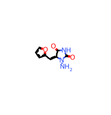 NN1C(=O)NC(=O)C1=Cc1ccco1